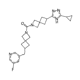 O=C(N1CC2(CC(Cc3cncc(F)c3)C2)C1)N1CC2(CC(c3nnc(C4CC4)[nH]3)C2)C1